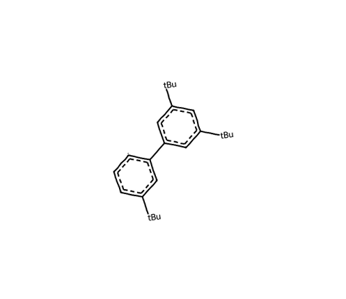 CC(C)(C)c1cc[c]c(-c2cc(C(C)(C)C)cc(C(C)(C)C)c2)c1